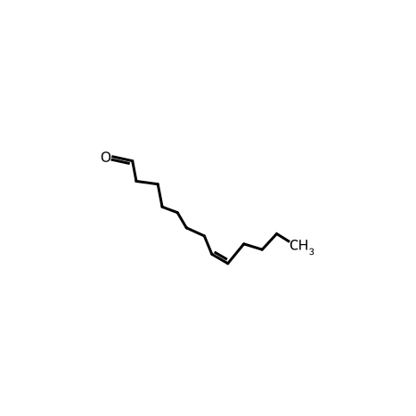 CCCC/C=C\CCCCCCC=O